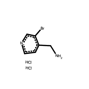 Cl.Cl.NCc1ccncc1Br